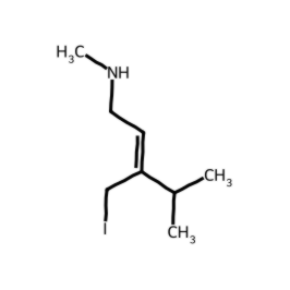 CNC/C=C(\CI)C(C)C